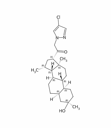 C[C@@H]1C[C@H](C(=O)Cn2cc(Cl)cn2)[C@@]2(C)CC[C@H]3[C@@H](CC[C@@H]4C[C@](C)(O)CC[C@@H]43)[C@H]12